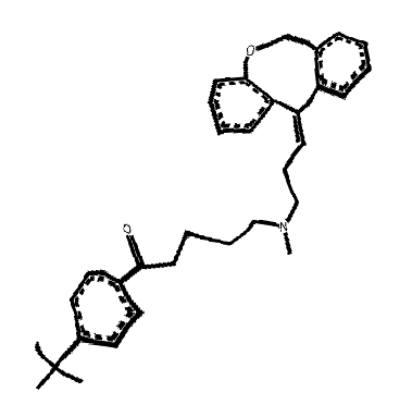 CN(CCC=C1c2ccccc2COc2ccccc21)CCCCC(=O)c1ccc(C(C)(C)C)cc1